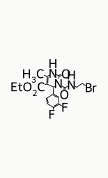 CCOC(=O)C1=C(C)NC(=O)N(C(=O)NCCBr)C1c1ccc(F)c(F)c1